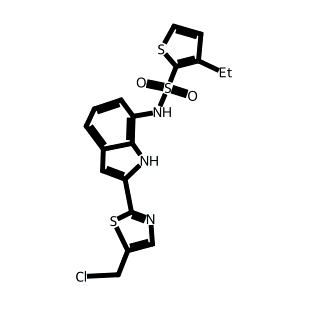 CCc1ccsc1S(=O)(=O)Nc1cccc2cc(-c3ncc(CCl)s3)[nH]c12